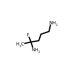 CC(N)(F)CCCN